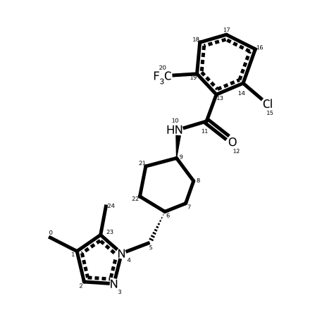 Cc1cnn(C[C@H]2CC[C@H](NC(=O)c3c(Cl)cccc3C(F)(F)F)CC2)c1C